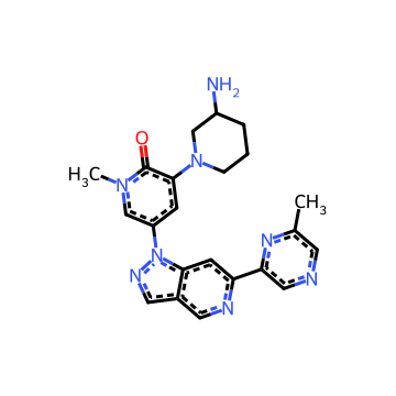 Cc1cncc(-c2cc3c(cn2)cnn3-c2cc(N3CCCC(N)C3)c(=O)n(C)c2)n1